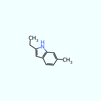 CCc1cc2ccc(C)cc2[nH]1